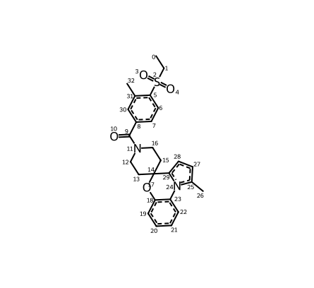 CCS(=O)(=O)c1ccc(C(=O)N2CCC3(CC2)Oc2ccccc2-n2c(C)ccc23)cc1C